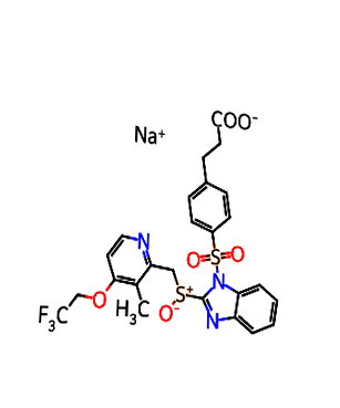 Cc1c(OCC(F)(F)F)ccnc1C[S+]([O-])c1nc2ccccc2n1S(=O)(=O)c1ccc(CCC(=O)[O-])cc1.[Na+]